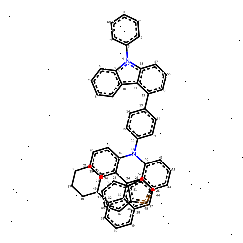 c1ccc(-n2c3ccccc3c3c(-c4ccc(N(c5ccccc5-c5cccc6cccc(C7CCCCC7)c56)c5cccc6sc7ccccc7c56)cc4)cccc32)cc1